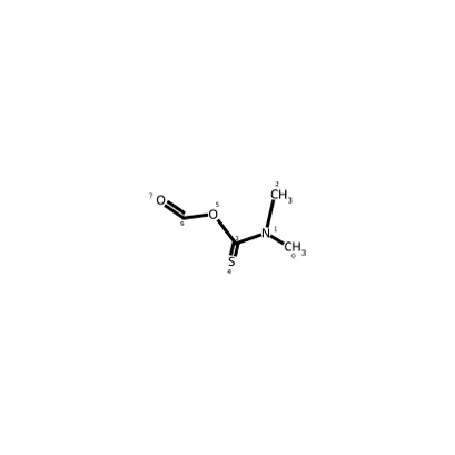 CN(C)C(=S)O[C]=O